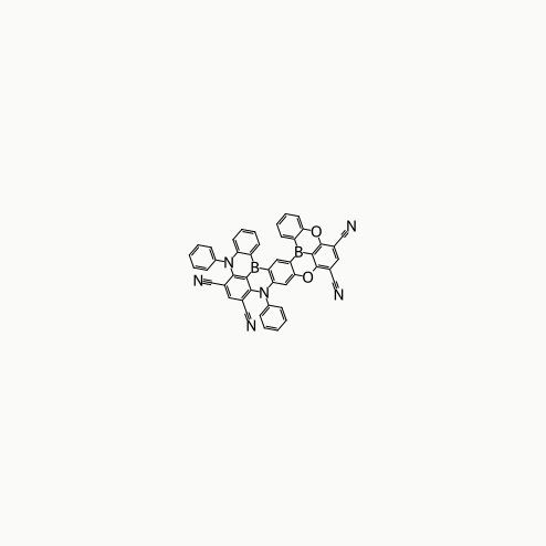 N#Cc1cc(C#N)c2c3c1Oc1ccccc1B3c1cc3c(cc1O2)N(c1ccccc1)c1c(C#N)cc(C#N)c2c1B3c1ccccc1N2c1ccccc1